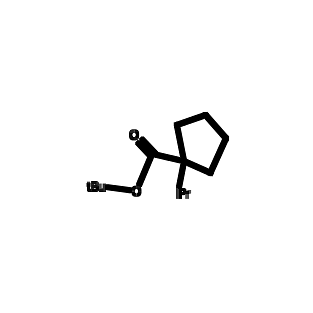 CC(C)C1(C(=O)OC(C)(C)C)CCCC1